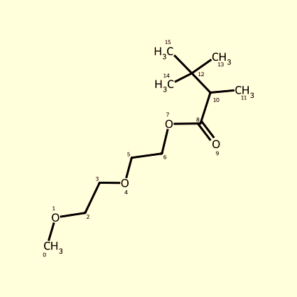 COCCOCCOC(=O)C(C)C(C)(C)C